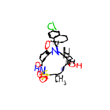 C[C@@H]1C/C=C/[C@@H](O)[C@@H]2CC[C@H]2CN2C[C@@]3(CCCc4cc(Cl)ccc43)COc3ccc(cc32)C(=O)NS(=O)(=O)C1